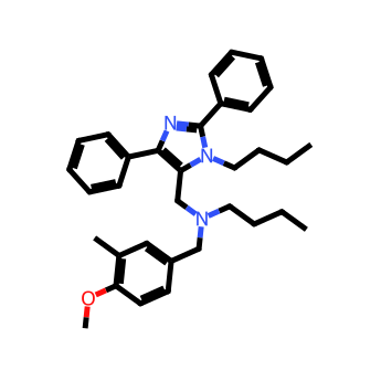 CCCCN(Cc1ccc(OC)c(C)c1)Cc1c(-c2ccccc2)nc(-c2ccccc2)n1CCCC